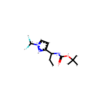 CCC(NC(=O)OC(C)(C)C)c1ccn(C(F)F)n1